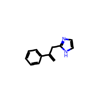 C=C(Cc1ncc[nH]1)c1ccccc1